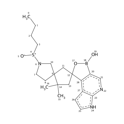 CCCC[S+]([O-])N1CCC2(C1)CC1(CC2(C)C)OB(O)c2cnc3[nH]ccc3c21